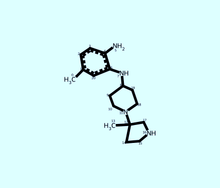 Cc1ccc(N)c(NC2CCN(C3(C)CCNC3)CC2)c1